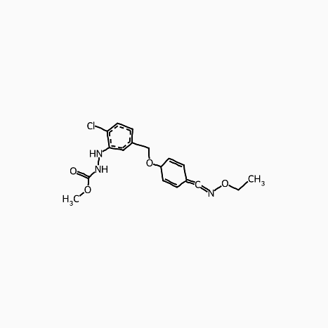 CCON=C=C1C=CC(OCc2ccc(Cl)c(NNC(=O)OC)c2)C=C1